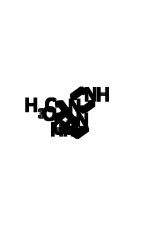 CCC(C(=O)O)(c1ncc[nH]1)N1CCNCC1